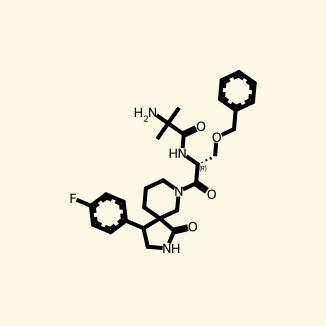 CC(C)(N)C(=O)N[C@H](COCc1ccccc1)C(=O)N1CCCC2(C1)C(=O)NCC2c1ccc(F)cc1